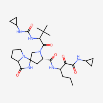 CCCC(NC(=O)[C@@H]1CC2(CN1C(=O)[C@@H](NC(=O)NC1CC1)C(C)(C)C)NC(=O)C1CCCN12)C(=O)C(=O)NC1CC1